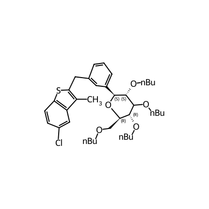 CCCCOC[C@H]1O[C@@H](c2cccc(Cc3sc4ccc(Cl)cc4c3C)c2)[C@H](OCCCC)C(OCCCC)[C@@H]1OCCCC